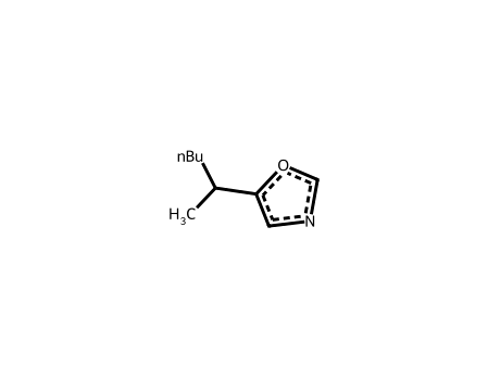 CCCCC(C)c1cnco1